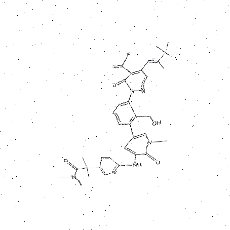 C=C(F)c1c(/C=C(\C)C(C)(C)C)cnn(-c2cccc(-c3cc(Nc4ccc(C(C)(C)C(=O)N(C)C)cn4)c(=O)n(C)c3)c2CO)c1=O